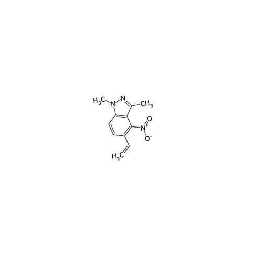 C=Cc1ccc2c(c(C)nn2C)c1[N+](=O)[O-]